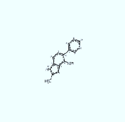 Cc1cc2c(O)c(-c3ccccc3)ccc2[nH]1